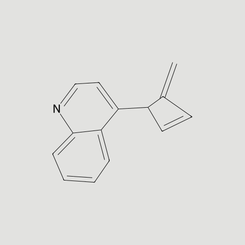 C=C1C=CC1c1ccnc2ccccc12